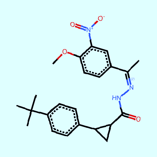 COc1ccc(/C(C)=N\NC(=O)C2CC2c2ccc(C(C)(C)C)cc2)cc1[N+](=O)[O-]